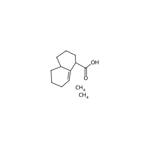 C.C.O=C(O)C1CCCC2CCCC=C21